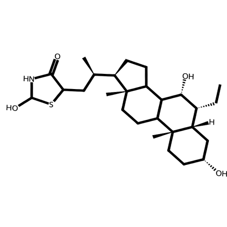 CC[C@H]1[C@@H](O)C2C3CC[C@H]([C@H](C)CC4SC(O)NC4=O)[C@@]3(C)CCC2[C@@]2(C)CC[C@@H](O)C[C@@H]12